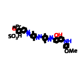 CCCOc1cc(S(=O)(=O)O)c2cc(N=Nc3cc(C)c(N=Nc4cc(C)c(N=Nc5ccc6cc(Nc7ccc(OC)cc7)ccc6c5O)cc4C)cc3C)ccc2c1